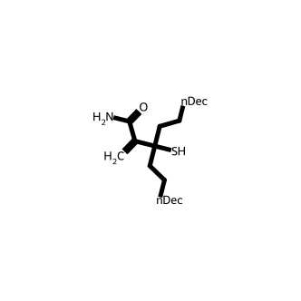 C=C(C(N)=O)C(S)(CCCCCCCCCCCC)CCCCCCCCCCCC